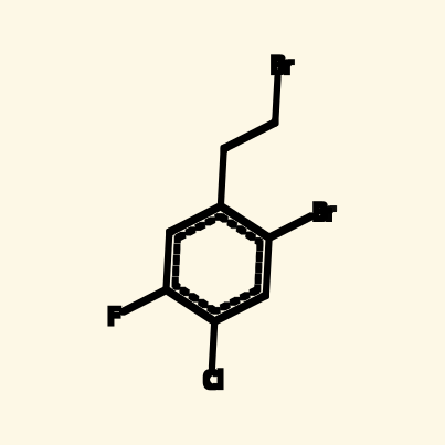 Fc1cc(CCBr)c(Br)cc1Cl